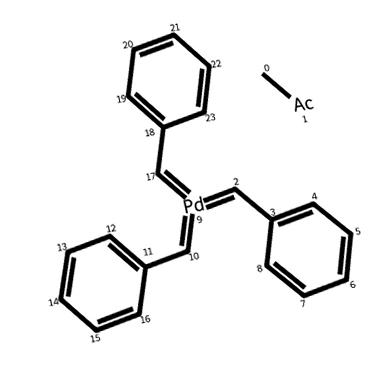 CC(C)=O.[CH](c1ccccc1)=[Pd](=[CH]c1ccccc1)=[CH]c1ccccc1